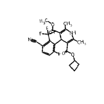 COC(=O)C1=C(C)NC(C)=C(C(=O)OC2CCC2)C1c1c(F)ccc(C#N)c1C(F)(F)F